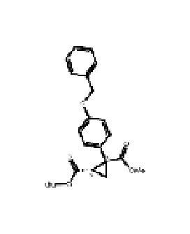 COC(=O)[C@@]1(c2ccc(OCc3ccccc3)cc2)C[C@@H]1C(=O)OC(C)(C)C